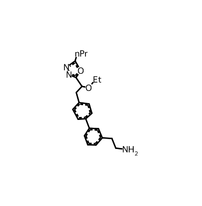 CCCc1nnc(C(Cc2ccc(-c3cccc(CCN)c3)cc2)OCC)o1